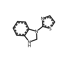 c1ccc2c(c1)NCN2c1nccs1